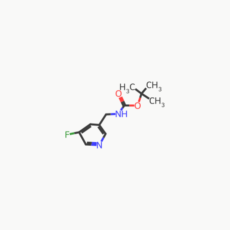 CC(C)(C)OC(=O)NCc1cncc(F)c1